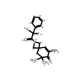 CC1(C)CC2(C=C(N)C1=O)CN(C(=O)C(F)(F)c1ccccc1)C2